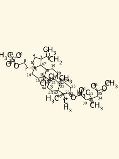 C=C(C)C1CC[C@]2(CCOS(C)(=O)=O)CC[C@]3(C)C(CCC4[C@@]5(C)CC[C@H](OC(=O)CC(C)(C)CC(=O)OC)C(C)(C)C5CC[C@]43C)C12